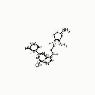 CC(CCNC1=C(N)CC(N)CC1)c1cnn2c(Cl)cc(-c3cncc(F)c3)nc12